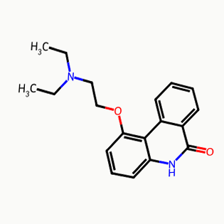 CCN(CC)CCOc1cccc2[nH]c(=O)c3ccccc3c12